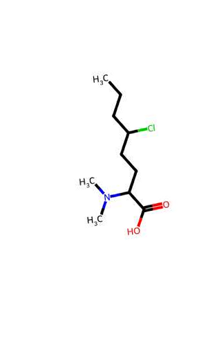 CCCC(Cl)CCC(C(=O)O)N(C)C